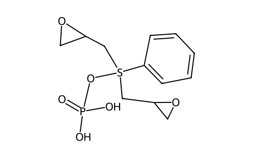 O=P(O)(O)OS(CC1CO1)(CC1CO1)c1ccccc1